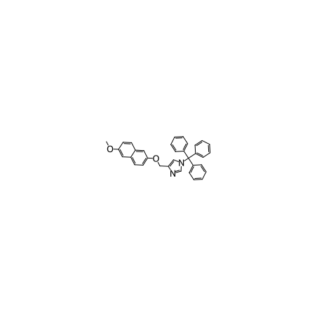 COc1ccc2cc(OCc3cn(C(c4ccccc4)(c4ccccc4)c4ccccc4)cn3)ccc2c1